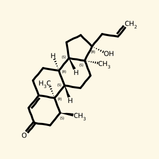 C=CC[C@]1(O)CC[C@H]2[C@@H]3CCC4=CC(=O)C[C@H](C)[C@]4(C)[C@H]3CC[C@@]21C